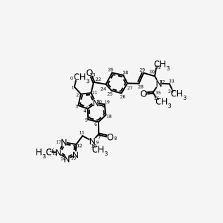 CCc1cc2cc(C(=O)N(C)Cc3nnn(C)n3)ccn2c1C(=O)c1ccc(/C=C/C(C)N(CC)C(C)=O)cc1